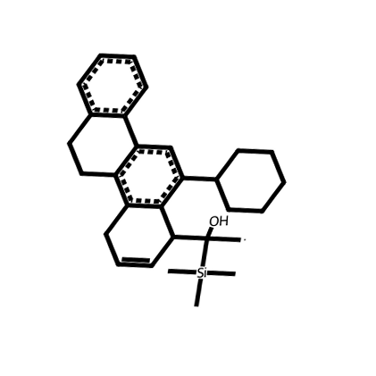 [CH2]C(O)(C1C=CCc2c3c(cc(C4CCCCC4)c21)-c1ccccc1CC3)[Si](C)(C)C